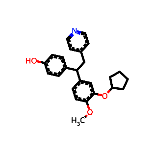 COc1ccc(C(Cc2ccncc2)c2ccc(O)cc2)cc1OC1CCCC1